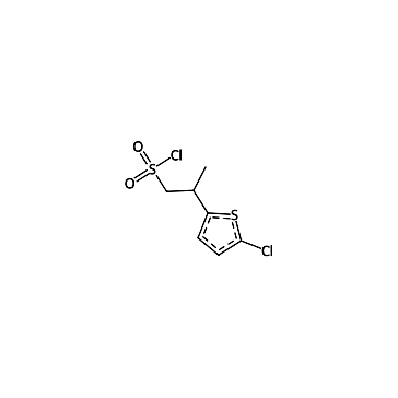 CC(CS(=O)(=O)Cl)c1ccc(Cl)s1